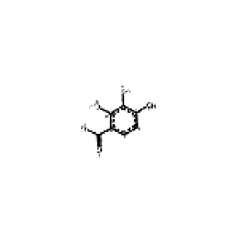 CCCc1c(O)ccc(C(=O)CC)c1O